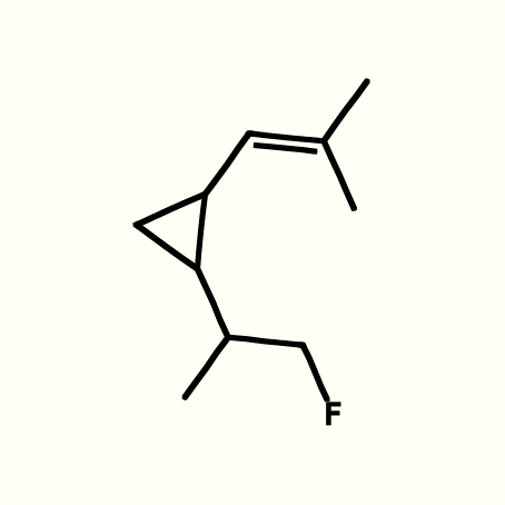 CC(C)=CC1CC1C(C)CF